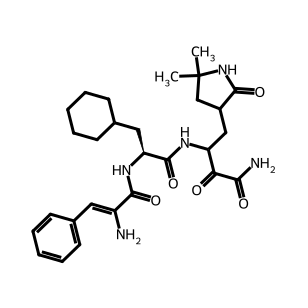 CC1(C)CC(CC(NC(=O)[C@H](CC2CCCCC2)NC(=O)/C(N)=C/c2ccccc2)C(=O)C(N)=O)C(=O)N1